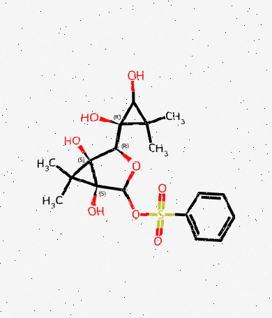 CC1(C)C(O)[C@@]1(O)[C@H]1OC(OS(=O)(=O)c2ccccc2)[C@]2(O)C(C)(C)[C@]12O